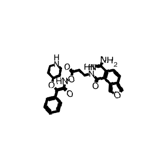 N=C(N)c1ccc2cocc2c1C(=O)NCCC(=O)ONC(=O)C(OC1CCNCC1)c1ccccc1